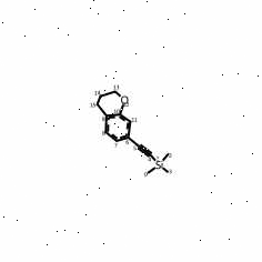 C[Si](C)(C)C#Cc1ccc2c(c1)OCCC2